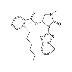 CCCCCCc1ccccc1C(=S)OC1CN(C)C(=O)N1c1nc2ccccc2s1